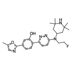 Cc1cnc(-c2ccc(-c3ccc(N(CCF)C4CC(C)(C)NC(C)(C)C4)nn3)c(O)c2)o1